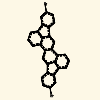 Brc1ccc2c(c1)c1cccc3c4cc5c6ccc(Br)cc6c6cccc(c4cc2c13)c65